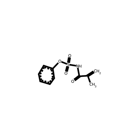 C=C(C)C(=O)NS(=O)(=O)Oc1ccccc1